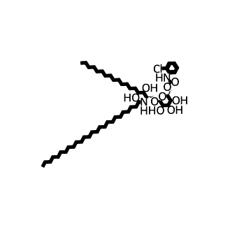 CCCCCCCCCCCCCCCCCCCCCCCCCCN[C@@H](CO[C@@H]1O[C@H](COC(=O)Nc2ccccc2Cl)[C@H](O)[C@H](O)[C@H]1O)[C@H](O)[C@H](O)CCCCCCCCCCCCCC